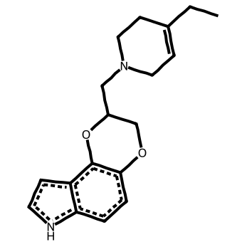 CCC1=CCN(CC2COc3ccc4[nH]ccc4c3O2)CC1